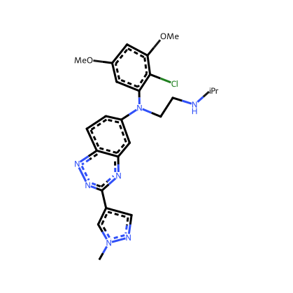 COc1cc(OC)c(Cl)c(N(CCNC(C)C)c2ccc3nnc(-c4cnn(C)c4)nc3c2)c1